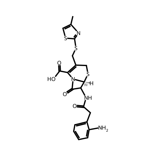 Cc1csc(SCC2=C(C(=O)O)N3C(=O)C(NC(=O)Cc4ccccc4N)[C@@H]3SC2)n1